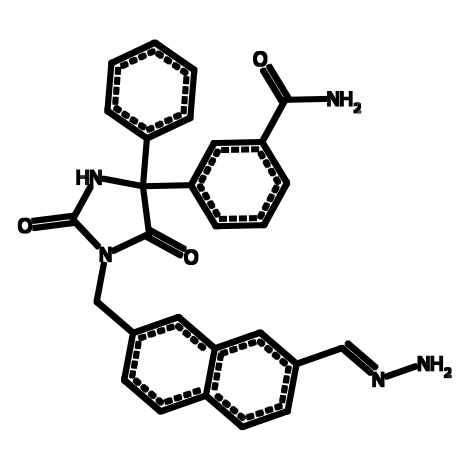 NN=Cc1ccc2ccc(CN3C(=O)NC(c4ccccc4)(c4cccc(C(N)=O)c4)C3=O)cc2c1